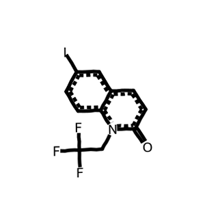 O=c1ccc2cc(I)ccc2n1CC(F)(F)F